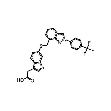 O=C(O)Cc1csc2cc(SCc3cccc4cn(-c5ccc(C(F)(F)F)cc5)nc34)ccc12